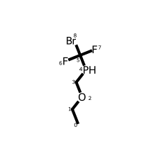 CCOCPC(F)(F)Br